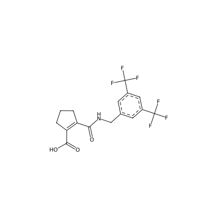 O=C(O)C1=C(C(=O)NCc2cc(C(F)(F)F)cc(C(F)(F)F)c2)CCC1